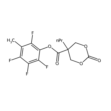 CCCC1(C(=O)Oc2c(F)c(C)c(F)c(F)c2F)COC(=O)OC1